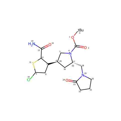 CC(C)(C)OC(=O)N1C[C@H](C2CC(Cl)SC2C(N)=O)C[C@H]1CN1CCCC1=O